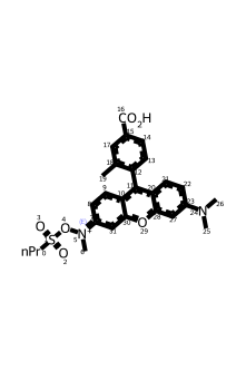 CCCS(=O)(=O)O/[N+](C)=c1\ccc2c(-c3ccc(C(=O)O)cc3C)c3ccc(N(C)C)cc3oc-2c1